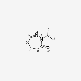 CC(C)N1N=CCCCC1=O